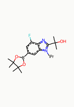 CC(C)n1c(C(C)(C)O)nc2c(F)cc(B3OC(C)(C)C(C)(C)O3)cc21